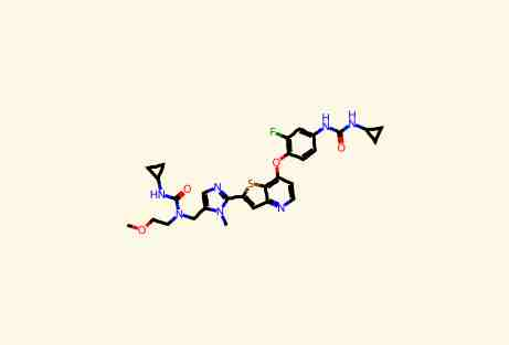 COCCN(Cc1cnc(-c2cc3nccc(Oc4ccc(NC(=O)NC5CC5)cc4F)c3s2)n1C)C(=O)NC1CC1